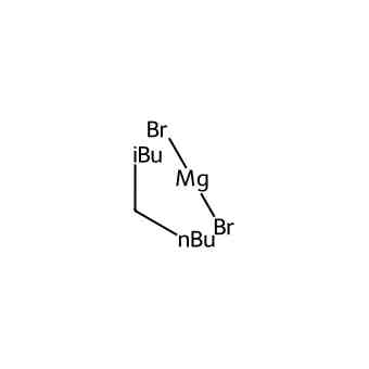 [Br][Mg][Br].[CH2]CCCCC(C)CC